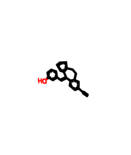 C#Cc1ccc2c(c1)CCc1ccccc1/C2=C\c1cccc(O)c1